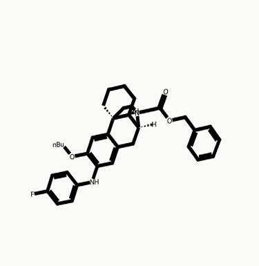 CCCCOc1cc2c(cc1Nc1ccc(F)cc1)C[C@H]1[C@H]3CCCC[C@@]23CCN1C(=O)OCc1ccccc1